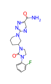 NC(=O)c1cnc(N2CCCC(N3CCN(c4ccccc4F)C3=O)C2)nn1